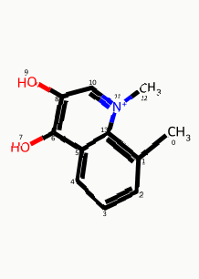 Cc1cccc2c(O)c(O)c[n+](C)c12